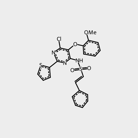 COc1ccccc1Oc1c(Cl)nc(-c2cccs2)nc1NS(=O)(=O)C=Cc1ccccc1